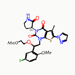 COCCOC(Cn1c(=O)n([C@H]2CCNC2=O)c(=O)c2c(C)c(-n3cccn3)sc21)c1cc(F)ccc1OC